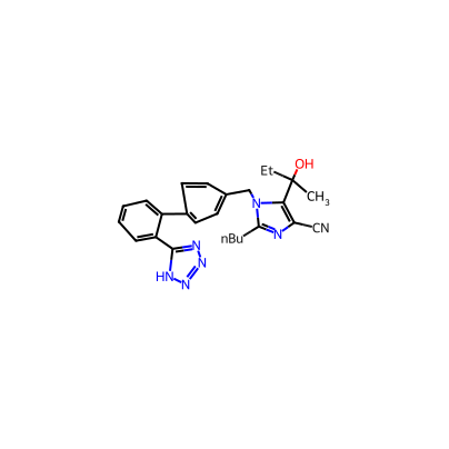 CCCCc1nc(C#N)c(C(C)(O)CC)n1Cc1ccc(-c2ccccc2-c2nnn[nH]2)cc1